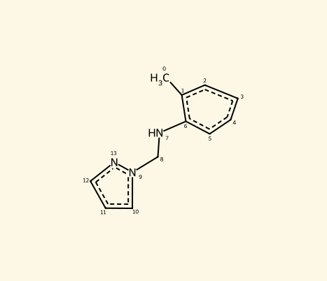 Cc1ccccc1NCn1cccn1